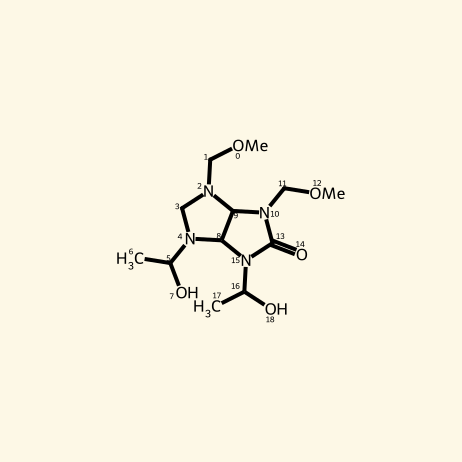 COCN1CN(C(C)O)C2C1N(COC)C(=O)N2C(C)O